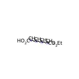 CCOC(=O)/C=C(\C)CC/C=C(\C)CC/C=C(\C)CC/C=C(\C)C(=O)O